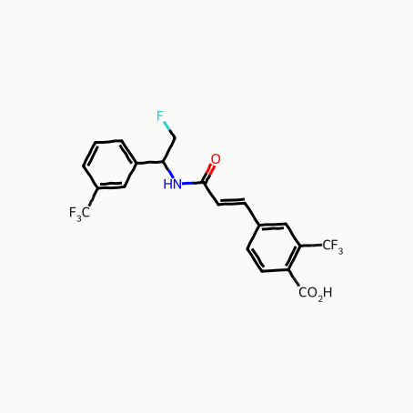 O=C(/C=C/c1ccc(C(=O)O)c(C(F)(F)F)c1)NC(CF)c1cccc(C(F)(F)F)c1